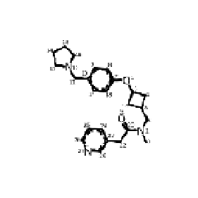 CN(CC1CC(Oc2ccc(CN3CCCC3)cc2)C1)C(=O)Cc1cccnc1